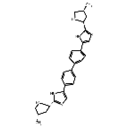 C[C@@H]1CN[C@H](c2ncc(-c3ccc(-c4ccc(-c5cnc([C@@H]6C[C@H](C)CN6)[nH]5)cc4)cc3)[nH]2)C1